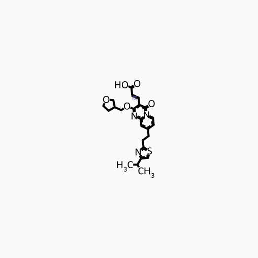 CC(C)c1csc(CCc2ccn3c(=O)c(/C=C/C(=O)O)c(OCC4CCOC4)nc3c2)n1